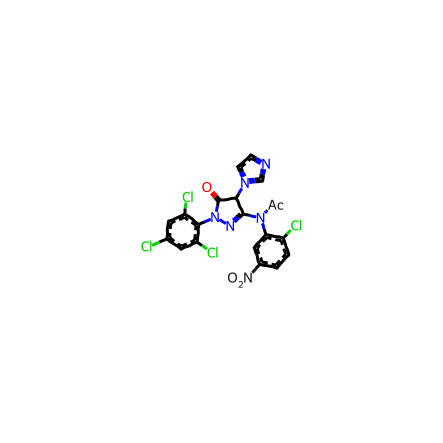 CC(=O)N(C1=NN(c2c(Cl)cc(Cl)cc2Cl)C(=O)C1n1ccnc1)c1cc([N+](=O)[O-])ccc1Cl